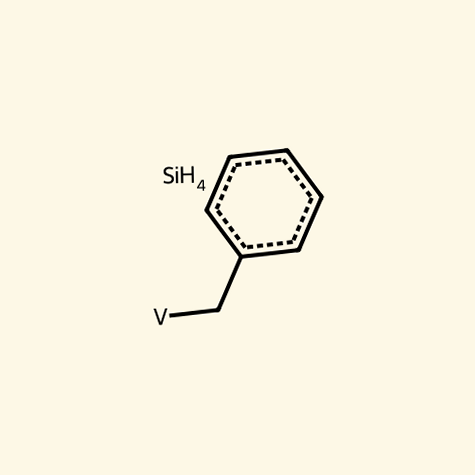 [SiH4].[V][CH2]c1ccccc1